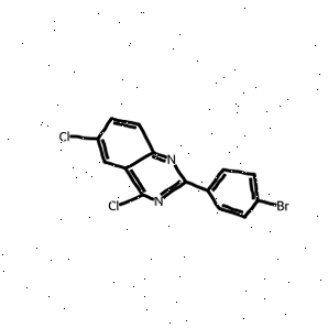 Clc1ccc2nc(-c3ccc(Br)cc3)nc(Cl)c2c1